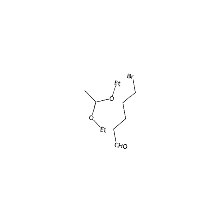 CCOC(C)OCC.O=CCCCCBr